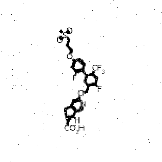 CS(=O)(=O)CCCOc1ccc(-c2cc(COc3cc4c(cn3)[C@H]3C(=C3C(=O)O)C4)c(F)cc2C(F)(F)F)c(F)c1